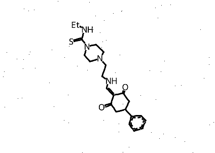 CCNC(=S)N1CCN(CCNC=C2C(=O)CC(c3ccccc3)CC2=O)CC1